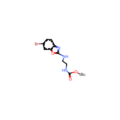 CC(C)(C)OC(=O)NCCNc1nc2ccc(Br)cc2o1